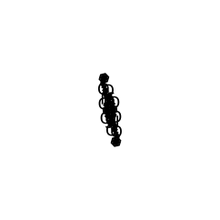 O=C(Cc1csc(N2C(=O)c3ccc4c5c(ccc(c35)C2=O)C(=O)N(c2nc(CC(=O)OCCc3ccccc3)cs2)C4=O)n1)OCCc1ccccc1